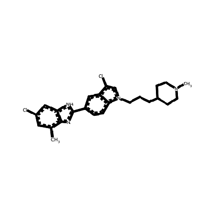 Cc1cc(Cl)cc2[nH]c(-c3ccc4c(c3)c(Cl)cn4CCCC3CCN(C)CC3)nc12